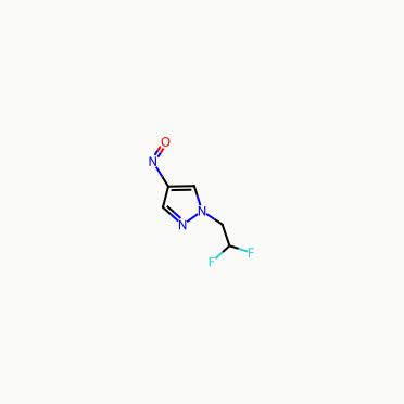 O=Nc1cnn(CC(F)F)c1